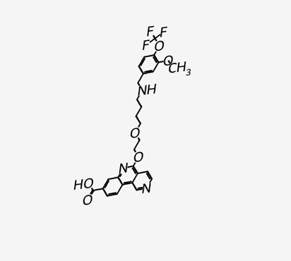 COc1cc(CNCCCCOCCOc2nc3cc(C(=O)O)ccc3c3cnccc23)ccc1OC(F)(F)F